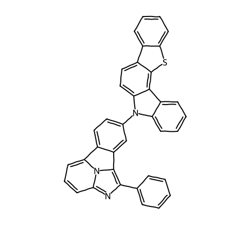 c1ccc(-c2nc3cccc4c5ccc(-n6c7ccccc7c7c8sc9ccccc9c8ccc76)cc5c2n34)cc1